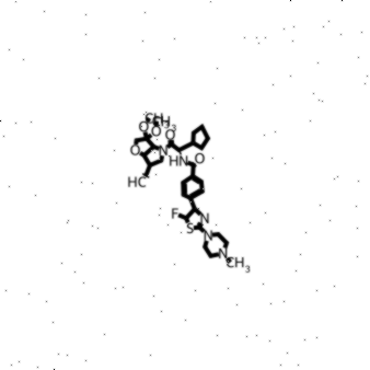 C#CC1CN(C(=O)[C@@H](NC(=O)c2ccc(C3N=C(N4CCN(C)CC4)SC3F)cc2)C2CCCC2)C2C1OCC2(OC)OC